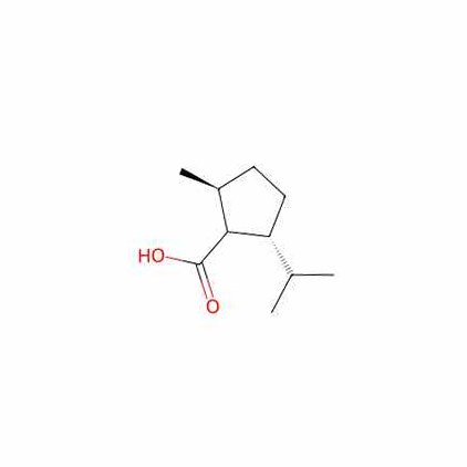 CC(C)[C@H]1CC[C@H](C)C1C(=O)O